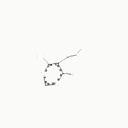 CCc1n[c]nc(CC)c1CCO